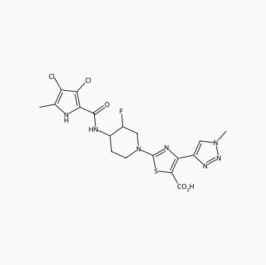 Cc1[nH]c(C(=O)NC2CCN(c3nc(-c4cn(C)nn4)c(C(=O)O)s3)CC2F)c(Cl)c1Cl